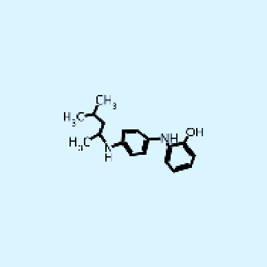 CC(C)CC(C)Nc1ccc(Nc2ccccc2O)cc1